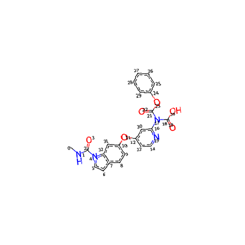 CNC(=O)n1ccc2ccc(Oc3ccnc(N(C(=O)O)C(=O)Oc4ccccc4)c3)cc21